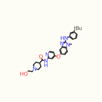 Cn1c(Nc2cccc(C(C)(C)C)c2)nc2cc(Oc3ccnc(NC(=O)C4CCN(CCO)CC4)c3)ccc21